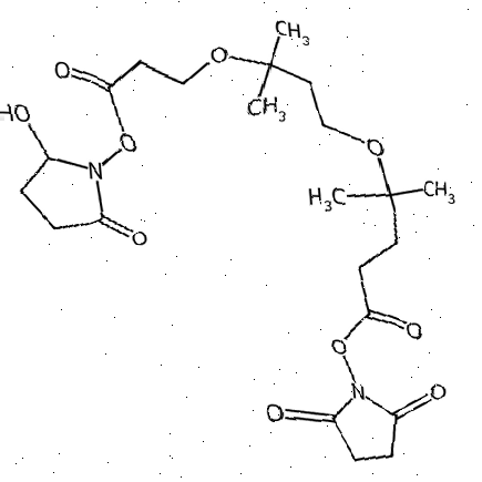 CC(C)(CCOC(C)(C)CCC(=O)ON1C(=O)CCC1=O)OCCC(=O)ON1C(=O)CCC1O